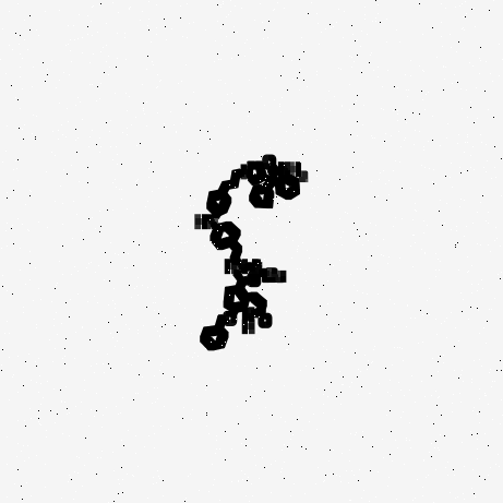 CC(C)(C)[Si](C)(C)O[C@H](CNCCc1ccc(Nc2ccc(CCCN3CC[C@@H](C(C(N)=O)(c4ccccc4)c4ccccc4)C3)cc2)cc1)c1ccc(OCc2ccccc2)c2[nH]c(=O)ccc12